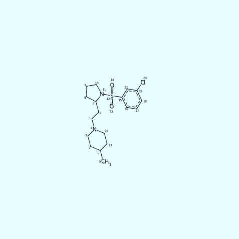 CC1CCN(CCC2CCCN2S(=O)(=O)c2cccc(Cl)c2)CC1